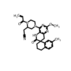 C=CC(=O)N1CCN(c2nc(OC)nc3c2NC(=O)C2(CCCc4ccc(C)cc42)C3)CC1CC#N